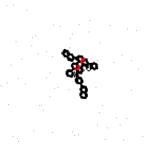 c1ccc(-c2ccc3ccccc3c2)c(-c2ccc(-c3ccccc3N(c3ccc(-c4ccc5ccccc5c4)cc3)c3ccc(-c4cccc5c4oc4ccccc45)cc3)cc2)c1